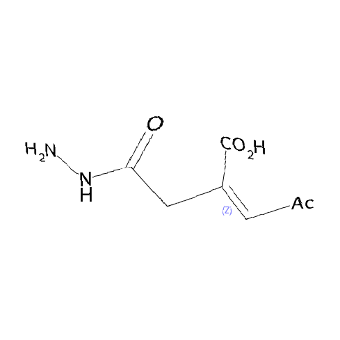 CC(=O)/C=C(/CC(=O)NN)C(=O)O